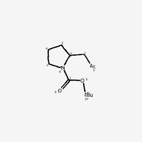 CC(=O)CC1CCCN1C(=O)OC(C)(C)C